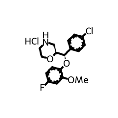 COc1cc(F)ccc1O[C@@H](c1ccc(Cl)cc1)[C@@H]1CNCCO1.Cl